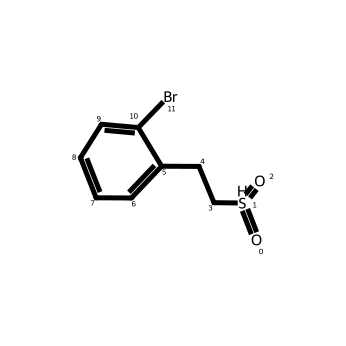 O=[SH](=O)CCc1ccccc1Br